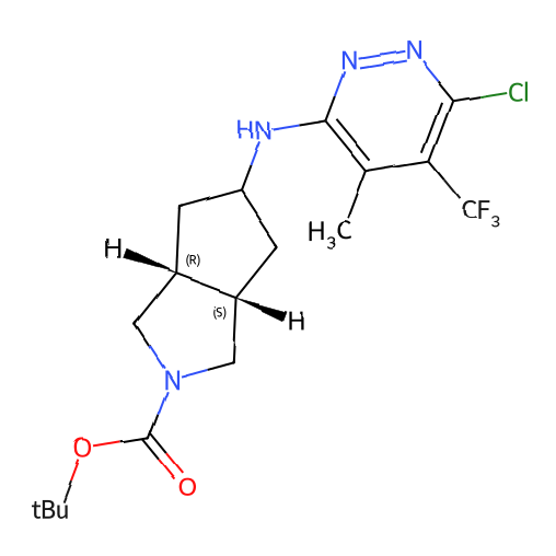 Cc1c(NC2C[C@@H]3CN(C(=O)OC(C)(C)C)C[C@@H]3C2)nnc(Cl)c1C(F)(F)F